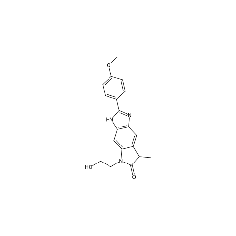 COc1ccc(-c2nc3cc4c(cc3[nH]2)N(CCO)C(=O)C4C)cc1